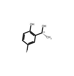 C[C@@H](O)c1cc(F)ccc1O